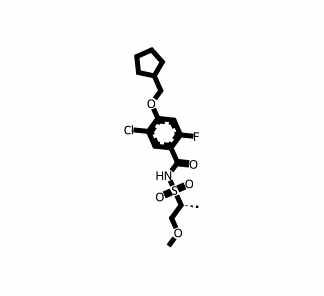 COC[C@@H](C)S(=O)(=O)NC(=O)c1cc(Cl)c(OCC2CCCC2)cc1F